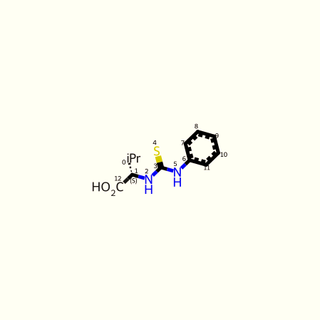 CC(C)[C@H](NC(=S)Nc1ccccc1)C(=O)O